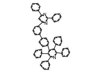 c1ccc(-c2cc(-c3cccc(-c4ccc(-c5c(-c6ccccc6)c(-c6ccccc6)nc(-c6ccccc6)c5-c5ccccc5)cc4)c3)nc(-c3ccccc3)n2)cc1